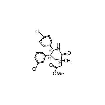 COC(=O)C[C@]1(C)C[C@H](c2cccc(Cl)c2)[C@@H](c2ccc(Cl)cc2)NC1=O